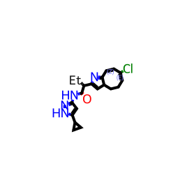 CCC(C(=O)Nc1cc(C2CC2)[nH]n1)C1=CC2CC/C=C(Cl)\C=C/C2=N1